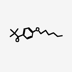 CCCCCCOc1ccc(C(=O)C(C)(C)C)cc1